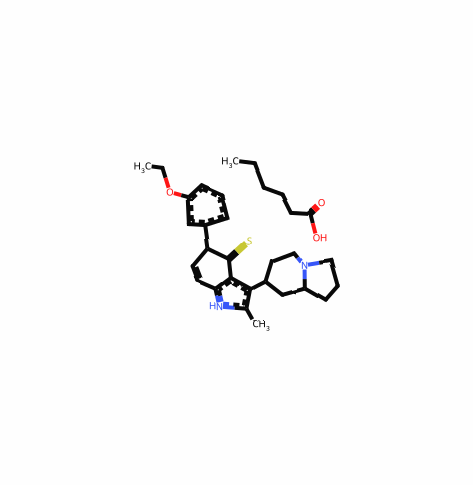 CCCCCC(=O)O.CCOc1cccc(C2C=Cc3[nH]c(C)c(C4CCN5CCCC5C4)c3C2=S)c1